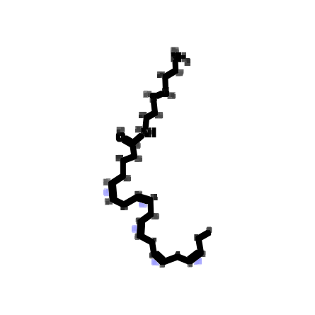 CC/C=C\C/C=C\C/C=C\C/C=C\C/C=C\CCCC(=O)NCCSSCCN